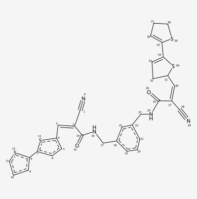 N#C/C(=C/c1ccc(-c2cccs2)s1)C(=O)NCc1cccc(CNC(=O)/C(C#N)=C\C2CC=C(C3=CCCS3)S2)c1